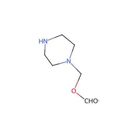 O=[C]OCN1CCNCC1